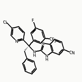 N#Cc1ccc2nc(N[C@](Cc3ccccc3)(c3cc(F)cc(C(F)(F)F)c3)c3ccc(Cl)cn3)[nH]c2c1